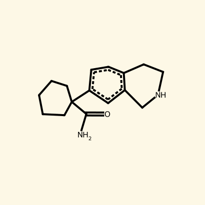 NC(=O)C1(c2ccc3c(c2)CNCC3)CCCCC1